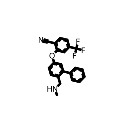 CNCc1ccc(Oc2cc(C(F)(F)F)ccc2C#N)cc1-c1ccccc1